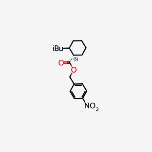 CCC(C)C1CCCC[C@@H]1C(=O)OCc1ccc([N+](=O)[O-])cc1